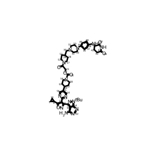 CC(C)(C)n1nc(-c2noc(C3CC3)c2-c2ncc(C3CCN(C(=O)OCC(=O)N4CCC(CN5CCN(c6ccc(NC7CCC(=O)NC7=O)cc6)CC5)CC4)CC3)cn2)c2c(N)ncnc21